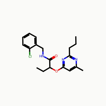 CCCc1nc(C)cc(OC(CC)C(=O)NCc2ccccc2Cl)n1